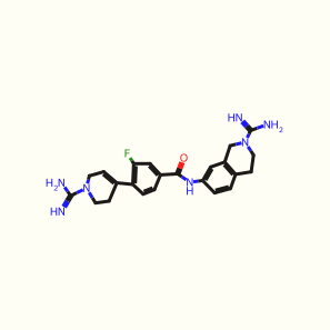 N=C(N)N1CC=C(c2ccc(C(=O)Nc3ccc4c(c3)CN(C(=N)N)CC4)cc2F)CC1